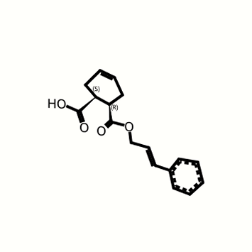 O=C(O)[C@H]1CC=CC[C@H]1C(=O)OCC=Cc1ccccc1